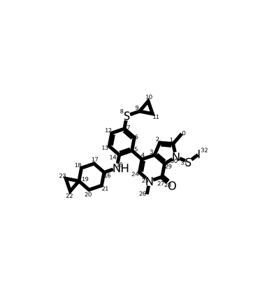 Cc1cc2c(-c3cc(SC4CC4)ccc3NC3CCC4(CC3)CC4)cn(C)c(=O)c2n1SI